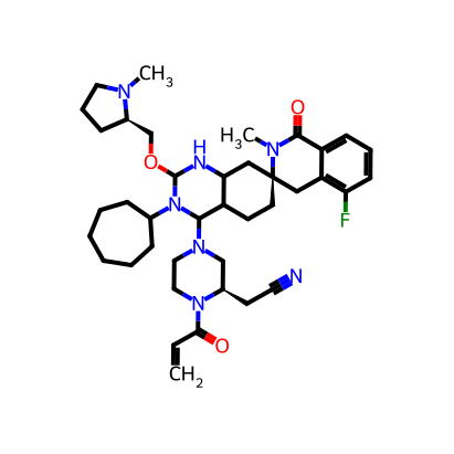 C=CC(=O)N1CCN(C2C3CC[C@@]4(Cc5c(F)cccc5C(=O)N4C)CC3NC(OC[C@H]3CCCN3C)N2C2CCCCCC2)C[C@H]1CC#N